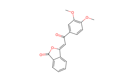 COc1ccc(C(=O)C=C2OC(=O)c3ccccc32)cc1OC